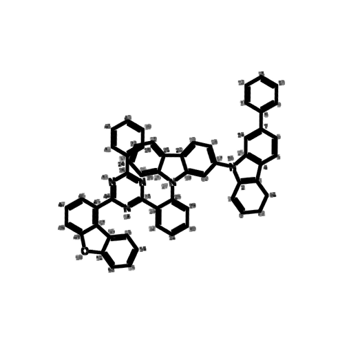 C1=Cc2c(c3ccc(-c4ccccc4)cc3n2-c2ccc3c4ccccc4n(-c4ccccc4-c4nc(-c5ccccc5)nc(-c5cccc6oc7ccccc7c56)n4)c3c2)CC1